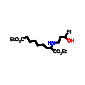 CCOC(=O)CCCCCCC(NCCC(O)CC)C(=O)OCC